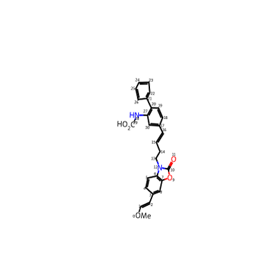 COC=Cc1ccc2c(c1)oc(=O)n2CCC=Cc1ccc(-c2ccccc2)c(NC(=O)O)c1